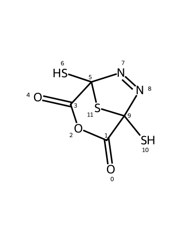 O=C1OC(=O)C2(S)N=NC1(S)S2